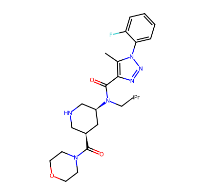 Cc1c(C(=O)N(CC(C)C)[C@@H]2CNC[C@H](C(=O)N3CCOCC3)C2)nnn1-c1ccccc1F